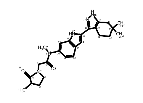 CC1CCN(CC(=O)N(C)c2ccc3cc(-c4n[nH]c5c4CCC(C)(C)C5)[nH]c3c2)C1=O